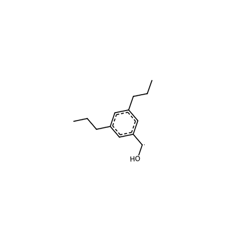 CCCc1cc([CH]O)cc(CCC)c1